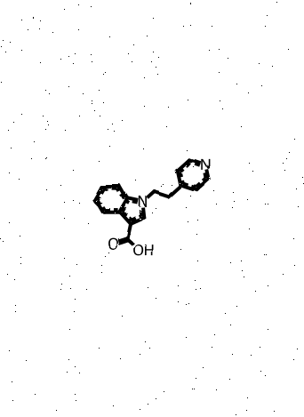 O=C(O)c1cn(CCc2ccncc2)c2ccccc12